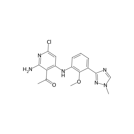 COc1c(Nc2cc(Cl)nc(N)c2C(C)=O)cccc1-c1ncn(C)n1